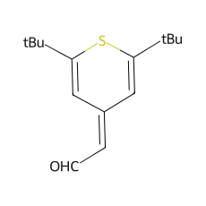 CC(C)(C)C1=CC(=CC=O)C=C(C(C)(C)C)S1